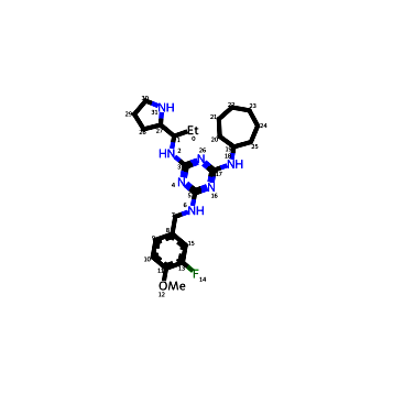 CCC(Nc1nc(NCc2ccc(OC)c(F)c2)nc(NC2CCCCCC2)n1)C1CCCN1